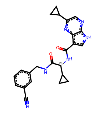 N#Cc1cccc(CNC(=O)[C@H](NC(=O)c2c[nH]c3ncc(C4CC4)nc23)C2CC2)c1